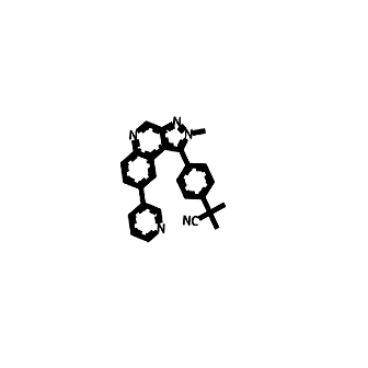 Cn1nc2cnc3ccc(-c4cccnc4)cc3c2c1-c1ccc(C(C)(C)C#N)cc1